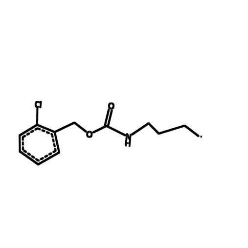 [CH2]CCCNC(=O)OCc1ccccc1Cl